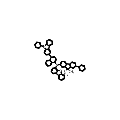 CC1(C)c2cc(-c3ccccc3)ccc2-c2ccc(N(c3ccc(-c4ccc5c(c4)c4ccccc4n5-c4ccccc4)c4ccccc34)c3cccc4c3oc3ccccc34)cc21